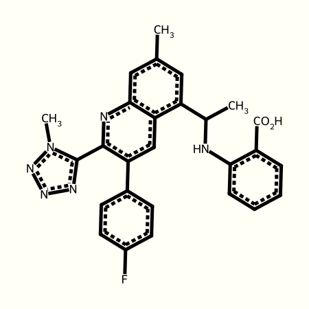 Cc1cc(C(C)Nc2ccccc2C(=O)O)c2cc(-c3ccc(F)cc3)c(-c3nnnn3C)nc2c1